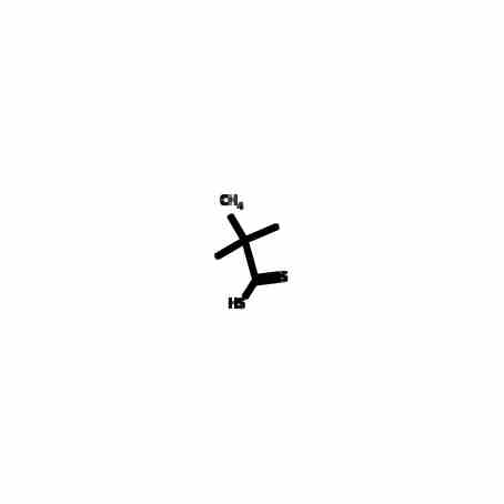 C.CC(C)(C)C(=S)S